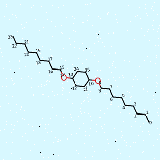 CCCCCCCCCOC1[CH]CC(OCCCCCCCCC)[CH]C1